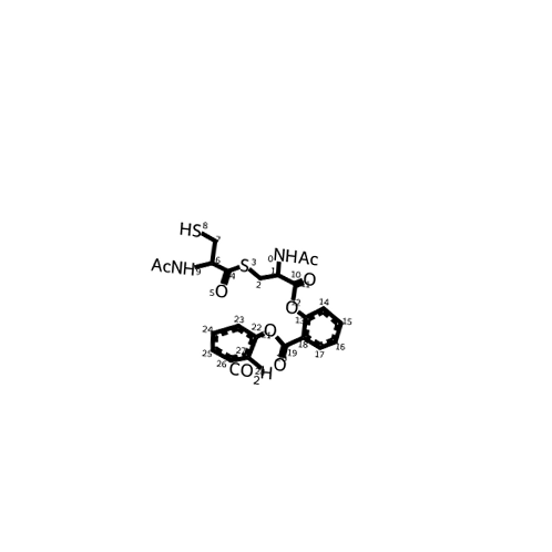 CC(=O)NC(CSC(=O)C(CS)NC(C)=O)C(=O)Oc1ccccc1C(=O)Oc1ccccc1C(=O)O